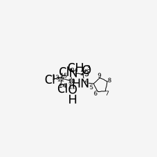 CN(C(=O)NC1CCCC1)C(O)C(Cl)(Cl)Cl